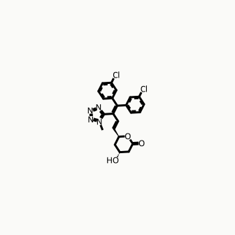 Cn1nnnc1C(C=C[C@@H]1C[C@@H](O)CC(=O)O1)=C(c1cccc(Cl)c1)c1cccc(Cl)c1